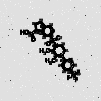 CC1C(C)N(S(=O)(=O)c2ccc3c(c2)C(C(=O)O)CC3)CCN1c1ccc(C(F)(F)F)cn1